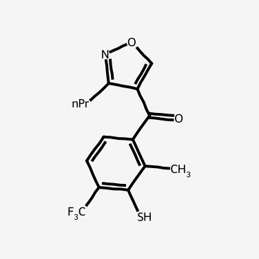 CCCc1nocc1C(=O)c1ccc(C(F)(F)F)c(S)c1C